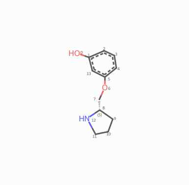 Oc1cccc(OC[C@@H]2CCCN2)c1